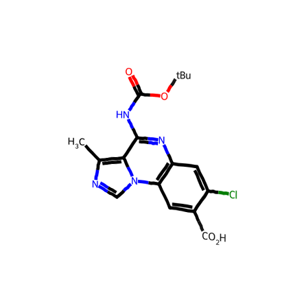 Cc1ncn2c1c(NC(=O)OC(C)(C)C)nc1cc(Cl)c(C(=O)O)cc12